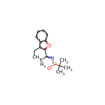 CCc1c(/C(C)=N/[S@+]([O-])C(C)(C)C)oc2ccccc12